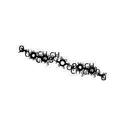 CC(OCC1CCC(COC(C)Oc2ccc(C(C)(C)c3ccc(OCC4CO4)cc3)cc2)CC1)Oc1ccc(C(C)(C)c2ccc(OCC3CO3)cc2)cc1